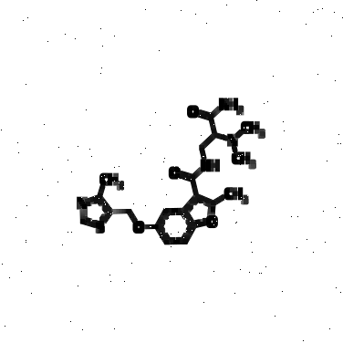 Cc1ncsc1COc1ccc2oc(C)c(C(=O)NCC(C(N)=O)N(C)C)c2c1